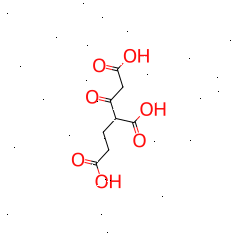 O=C(O)CCC(C(=O)O)C(=O)CC(=O)O